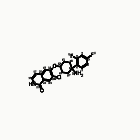 NC1(c2ccc(F)cc2F)CCC(Oc2cc3cc[nH]c(=O)c3cc2Cl)CC1